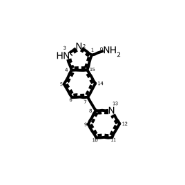 Nc1n[nH]c2ccc(-c3ccccn3)cc12